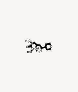 CN(CC(O)CC(N)C1CCOCC1)C(=O)OC(C)(C)C